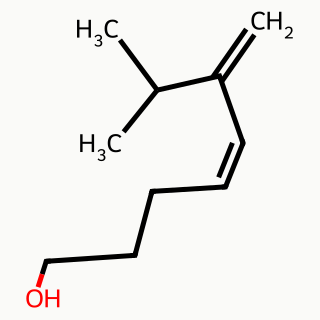 C=C(/C=C\CCCO)C(C)C